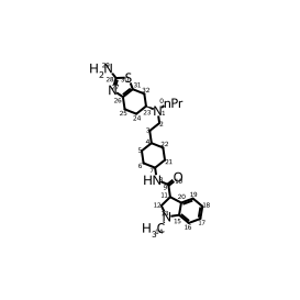 CCCN(CCC1CCC(NC(=O)C2CN(C)c3ccccc32)CC1)[C@H]1CCc2nc(N)sc2C1